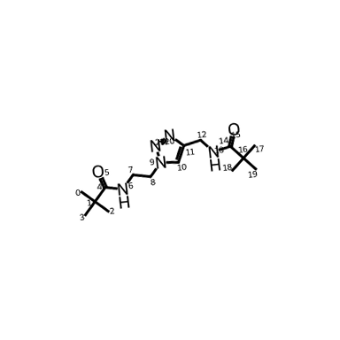 CC(C)(C)C(=O)NCCn1cc(CNC(=O)C(C)(C)C)nn1